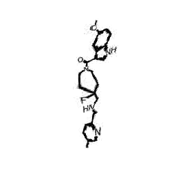 COc1ccc2[nH]cc(C(=O)N3CCC(F)(CNCc4ccc(C)cn4)CC3)c2c1